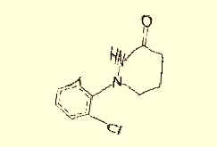 O=C1CCCN(c2ccccc2Cl)N1